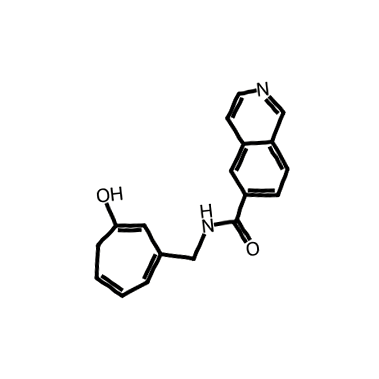 O=C(NCC1=CC=CCC(O)=C1)c1ccc2cnccc2c1